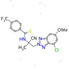 COc1cc(Cl)c2nn(CC(C)(C#N)NC(=S)c3ccc(C(F)(F)F)cc3)nc2c1